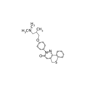 CC(COc1ccc(-n2nc3c(cc2=O)CSc2ccccc2-3)cc1)CN(C)C